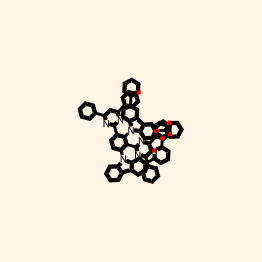 c1ccc(-c2ccc3c(c2)c2cc(-c4ccccc4)ccc2n3-c2c(-c3nc(-c4ccccc4)cc(-c4ccccc4)n3)ccc(-n3c4ccccc4c4ccc(-c5cccc(-c6ccccc6)n5)cc43)c2-c2nc(-c3ccccc3)cc(-c3ccccc3)n2)cc1